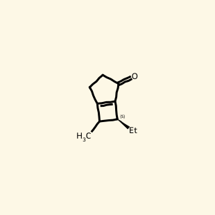 CC[C@@H]1C2=C(CCC2=O)C1C